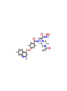 Cc1cc(COc2ccc(C(=O)NC[C@@H](C(=O)NO)N3CCN(C(=O)C(C)C)CC3)cc2)c2ccccc2n1